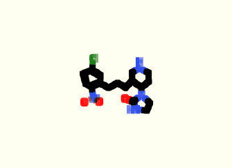 O=C1NCCN1C1CCNCC1CCCc1cc(Cl)ccc1[N+](=O)[O-]